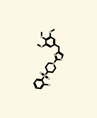 COc1cc(Cc2csc(N3CCC(S(=O)(=O)c4ccccc4Cl)CC3)n2)cc(OC)c1OC